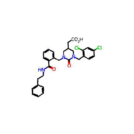 O=C(O)CC1CN(Cc2ccc(Cl)cc2Cl)C(=O)N(Cc2ccccc2C(=O)NCCc2ccccc2)C1